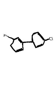 CC(C)C1C=C(C2C=CC(Cl)=CC2)C=CC1